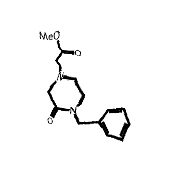 COC(=O)CN1CCN(Cc2ccccc2)C(=O)C1